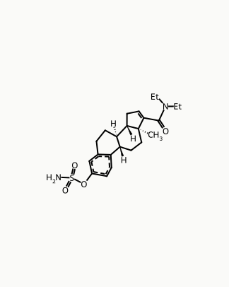 CCN(CC)C(=O)C1=CC[C@H]2[C@@H]3CCc4cc(OS(N)(=O)=O)ccc4[C@H]3CC[C@]12C